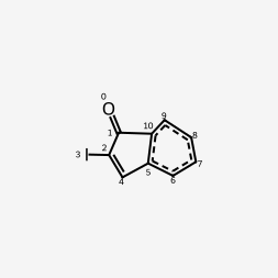 O=C1C(I)=Cc2ccccc21